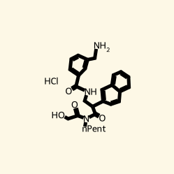 CCCCCN(C(=O)CO)C(=O)C(CNC(=O)c1cccc(CN)c1)c1ccc2ccccc2c1.Cl